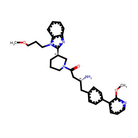 COCCCn1c([C@@H]2CCCN(C(=O)C[C@H](N)Cc3ccc(-c4cccnc4OC)cc3)C2)nc2ccccc21